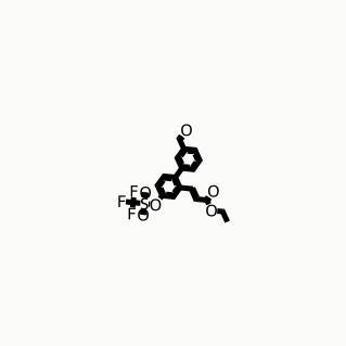 CCOC(=O)/C=C/c1cc(OS(=O)(=O)C(F)(F)F)ccc1-c1cccc(C=O)c1